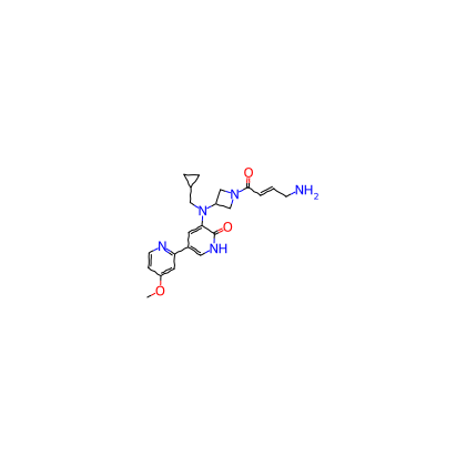 COc1ccnc(-c2c[nH]c(=O)c(N(CC3CC3)C3CN(C(=O)/C=C/CN)C3)c2)c1